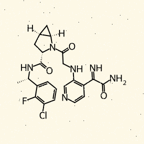 C[C@H](NC(=O)[C@@H]1C[C@H]2C[C@H]2N1C(=O)CNc1cnccc1C(=N)C(N)=O)c1cccc(Cl)c1F